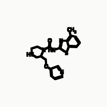 Cc1cccc2sc(NC(=O)N3CCNCC3COc3cccnc3)nc12